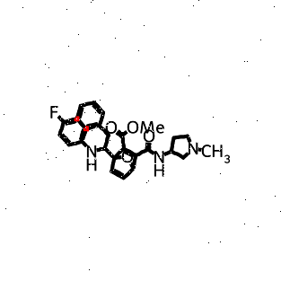 COC(=O)C1=C(C(=O)NC2CCN(C)C2)C2C=CC1(C(Cc1ccccc1)Nc1ccc(F)cc1)O2